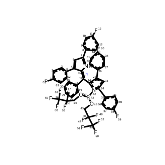 Fc1ccc(C2=CC(c3ccc(F)cc3)=N/C2=C(/c2ccccc2)c2c(-c3ccc(F)cc3)cc(-c3ccc(F)cc3)n2B(OCC(F)(F)C(F)(F)F)OCC(F)(F)C(F)(F)F)cc1